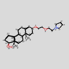 C[C@]12CC[C@H](OCCOCCN3CCCC3)C=C1CCC1C2CC[C@@]2(C)C1CC[C@@H]2O